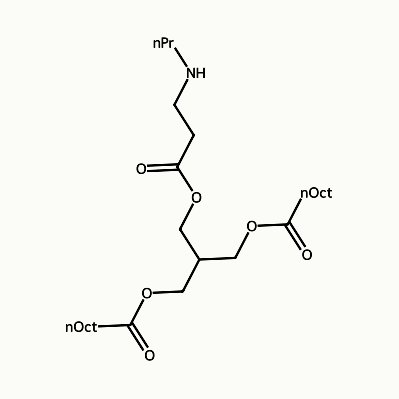 CCCCCCCCC(=O)OCC(COC(=O)CCCCCCCC)COC(=O)CCNCCC